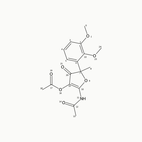 COc1cccc(C2(C)OC(NC(C)=O)=C(OC(C)=O)C2=O)c1OC